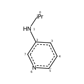 CC(C)Nc1cc[c]nc1